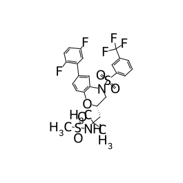 CC(C)(C[C@H]1CN(S(=O)(=O)c2cccc(C(F)(F)F)c2)c2cc(-c3cc(F)ccc3F)ccc2O1)NS(C)(=O)=O